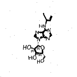 C=CC(C)Nc1ncnc2c1ncn2[C@@H]1O[C@H](CO)[C@@H](O)[C@H]1O